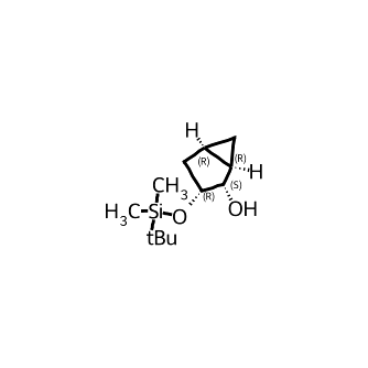 CC(C)(C)[Si](C)(C)O[C@@H]1C[C@H]2C[C@H]2[C@@H]1O